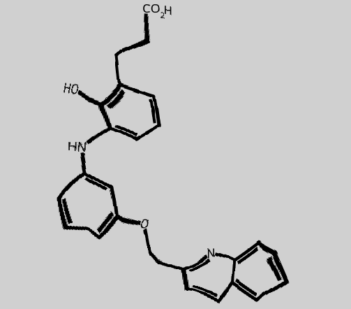 O=C(O)CCc1cccc(Nc2cccc(OCc3ccc4ccccc4n3)c2)c1O